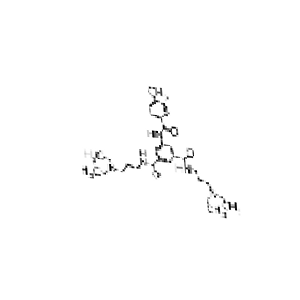 CCN(CC)CCCNC(=O)c1cc(NC(=O)c2ccc(C)cc2)cc(C(=O)NCCCN(CC)CC)c1